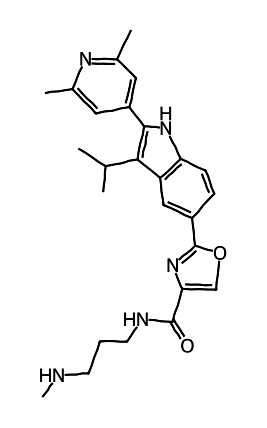 CNCCCNC(=O)c1coc(-c2ccc3[nH]c(-c4cc(C)nc(C)c4)c(C(C)C)c3c2)n1